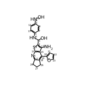 Nc1c(C(O)Nc2ccc(NO)cc2)sc2nc3c(c(-c4ccco4)c12)CCC3